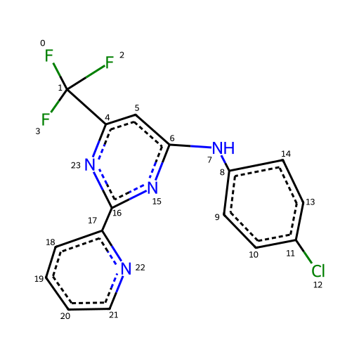 FC(F)(F)c1cc(Nc2ccc(Cl)cc2)nc(-c2ccccn2)n1